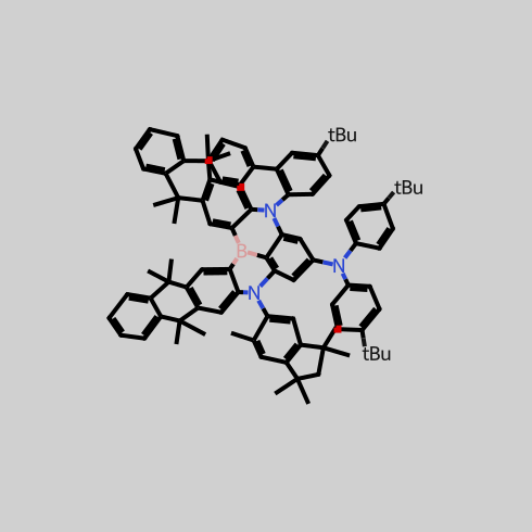 Cc1cc2c(cc1N1c3cc4c(cc3B3c5cc6c(cc5N(c5ccc(C(C)(C)C)cc5-c5ccccc5)c5cc(N(c7ccc(C(C)(C)C)cc7)c7ccc(C(C)(C)C)cc7)cc1c53)C(C)(C)c1ccccc1C6(C)C)C(C)(C)c1ccccc1C4(C)C)C(C)(C)CC2(C)C